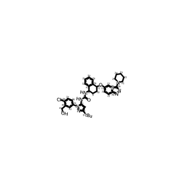 CC(C)(C)c1cc(NC(=O)NC2CCC(Oc3ccc4nnc(N5CCCCC5)n4c3)c3ccccc32)n(-c2ccc(Cl)c(CO)c2)n1